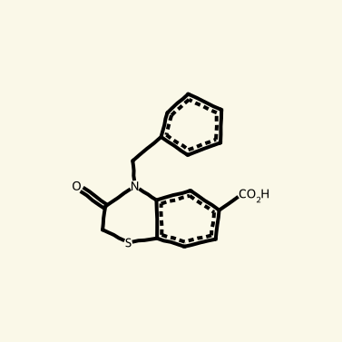 O=C(O)c1ccc2c(c1)N(Cc1ccccc1)C(=O)CS2